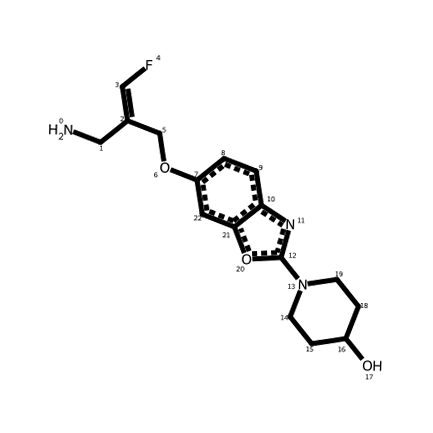 NC/C(=C/F)COc1ccc2nc(N3CCC(O)CC3)oc2c1